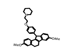 COc1ccc2c(c1)CCC1=C2C(c2ccc(OCCN3CCCCC3)cc2)c2ccc(OC)cc21